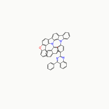 c1ccc(-c2nc(-c3ccc(-n4c5ccccc5c5ccc6c7ccc8oc9ccccc9c8c7n(-c7cccc8ccccc78)c6c54)cc3)nc3ccccc23)cc1